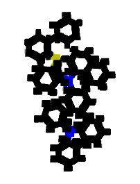 c1ccc(-c2cccc3c2sc2c(N(c4ccc(-c5cccc6c7ccccc7n(-c7ccccc7)c56)cc4)c4cccc5ccccc45)cccc23)cc1